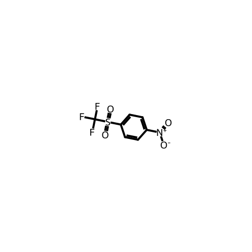 O=[N+]([O-])c1ccc(S(=O)(=O)C(F)(F)F)cc1